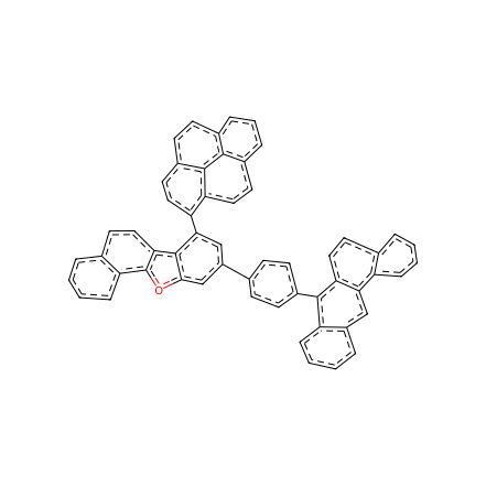 c1ccc2c(-c3ccc(-c4cc(-c5ccc6ccc7cccc8ccc5c6c78)c5c(c4)oc4c6ccccc6ccc45)cc3)c3ccc4ccccc4c3cc2c1